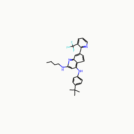 CCCCNc1cc(Nc2ccc(C(C)(C)C)cc2)c2ccc(-c3ncccc3C(F)(F)F)cc2n1